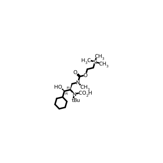 CN(C[C@H]([C@H](O)C1CCCCC1)N(C(=O)O)C(C)(C)C)C(=O)OCC[Si](C)(C)C